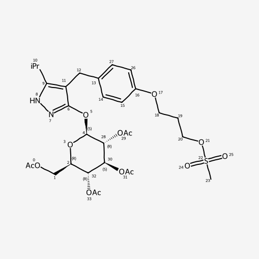 CC(=O)OC[C@H]1O[C@@H](Oc2n[nH]c(C(C)C)c2Cc2ccc(OCCCOS(C)(=O)=O)cc2)[C@H](OC(C)=O)[C@@H](OC(C)=O)[C@@H]1OC(C)=O